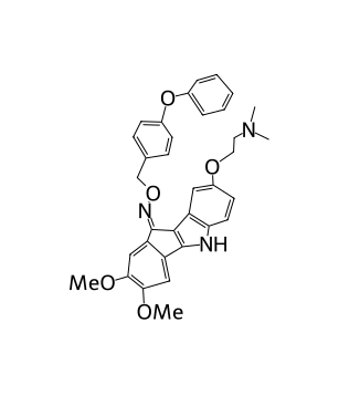 COc1cc2c(cc1OC)-c1[nH]c3ccc(OCCN(C)C)cc3c1C2=NOCc1ccc(Oc2ccccc2)cc1